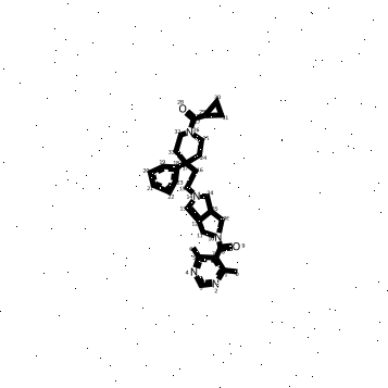 Cc1ncnc(C)c1C(=O)N1CC2=CN(CCC3(c4ccccc4)CCN(C(=O)C4CC4)CC3)CC2C1